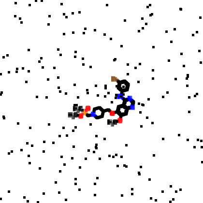 COc1cc2ncnc(Nc3cccc(Br)c3)c2cc1OCC1CCN(CP(C)(=O)OC)CC1